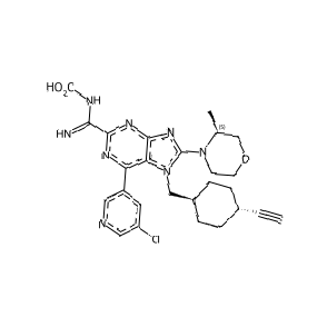 C#C[C@H]1CC[C@H](Cn2c(N3CCOC[C@@H]3C)nc3nc(C(=N)NC(=O)O)nc(-c4cncc(Cl)c4)c32)CC1